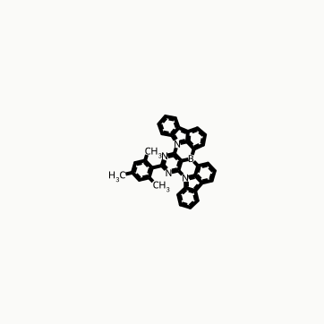 Cc1cc(C)c(-c2nc3c4c(n2)-n2c5ccccc5c5cccc(c52)B4c2cccc4c5ccccc5n-3c24)c(C)c1